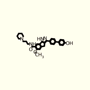 COc1cc2c(cc1C(=O)NCCCN1CCCCC1)-c1[nH]nc(-c3ccc(-c4ccc(O)cc4)cc3)c1C2